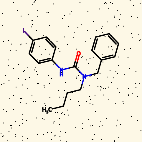 CCCCN(Cc1ccccc1)C(=O)Nc1ccc(I)cc1